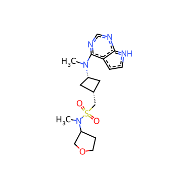 CN(C1CCOC1)S(=O)(=O)C[C@H]1C[C@@H](N(C)c2ncnc3[nH]ccc23)C1